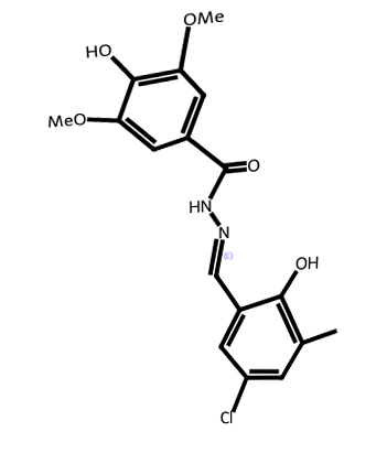 COc1cc(C(=O)N/N=C/c2cc(Cl)cc(C)c2O)cc(OC)c1O